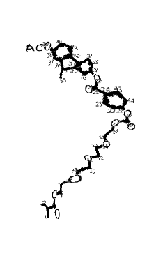 C=C(C)C(=O)OCCOCCOCCOCCOC(=O)Oc1ccc(C(=O)Oc2ccc3c(c2)C(C)c2cc(OC(C)=O)ccc2-3)cc1